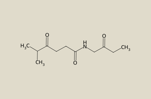 CCC(=O)CNC(=O)CCC(=O)C(C)C